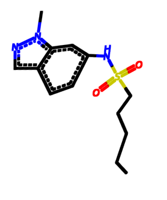 CCCCCS(=O)(=O)Nc1ccc2cnn(C)c2c1